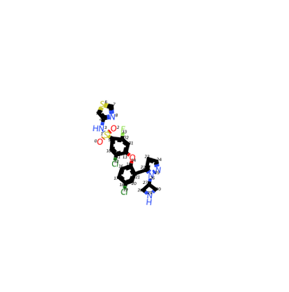 O=S(=O)(Nc1cscn1)c1cc(Cl)c(Oc2ccc(Cl)cc2-c2ccnn2C2CNC2)cc1F